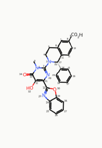 Cn1c(N2CCc3cc(C(=O)O)ccc3[C@@H]2c2ccccc2)nc(-c2nc3ccccc3o2)c(O)c1=O